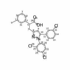 Cc1cccc(C(Cc2cc(-c3cccc(Cl)c3)n(-c3ccc(Cl)cc3Cl)n2)C(=O)O)c1